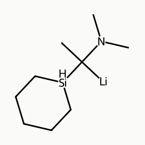 [Li][C](C)(N(C)C)[SiH]1CCCCC1